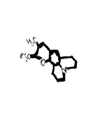 C=C1Oc2c(cc3c4c2CCCN4CCC3)C=C1C